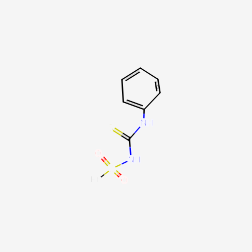 CCS(=O)(=O)NC(=S)Nc1ccccc1